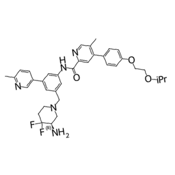 Cc1ccc(-c2cc(CN3CCC(F)(F)[C@H](N)C3)cc(NC(=O)c3cc(-c4ccc(OCCOC(C)C)cc4)c(C)cn3)c2)cn1